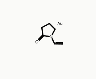 C=CN1CCCC1=O.[Au]